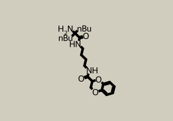 CCCCC(N)(CCCC)C(=O)NCCCCNC(=O)C1COc2ccccc2O1